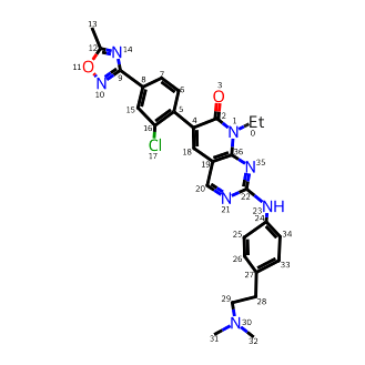 CCn1c(=O)c(-c2ccc(-c3noc(C)n3)cc2Cl)cc2cnc(Nc3ccc(CCN(C)C)cc3)nc21